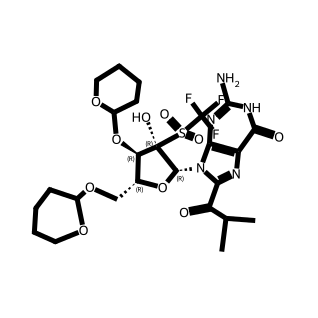 CC(C)C(=O)c1nc2c(=O)[nH]c(N)nc2n1[C@@H]1O[C@H](COC2CCCCO2)[C@@H](OC2CCCCO2)[C@@]1(O)S(=O)(=O)C(F)(F)F